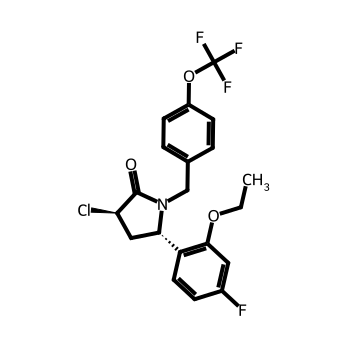 CCOc1cc(F)ccc1[C@@H]1C[C@@H](Cl)C(=O)N1Cc1ccc(OC(F)(F)F)cc1